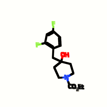 CCOC(=O)N1CCC(O)(Cc2ccc(F)cc2F)CC1